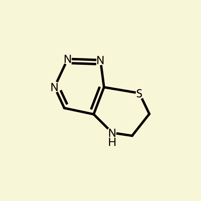 c1nnnc2c1NCCS2